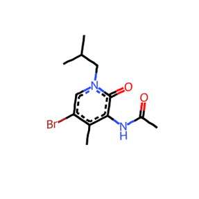 CC(=O)Nc1c(C)c(Br)cn(CC(C)C)c1=O